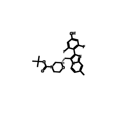 Cc1ccn2c(C[C@H]3CN(C(=O)OC(C)(C)C)CCO3)c(-c3c(F)cc(O)cc3I)nc2c1